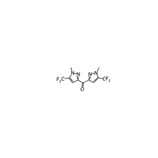 Cn1nc(C(=O)c2cc(C(F)(F)F)n(C)n2)cc1C(F)(F)F